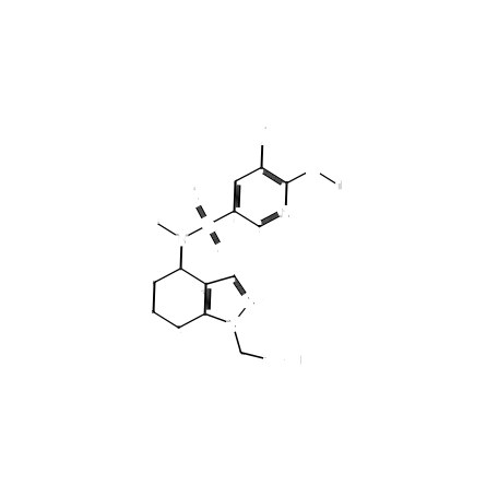 CC(C)Oc1ncc(S(=O)(=O)N(C)C2CCCc3c2cnn3CC(=O)O)cc1Br